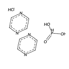 Cl.O=[PH](O)O.c1cnccn1.c1cnccn1